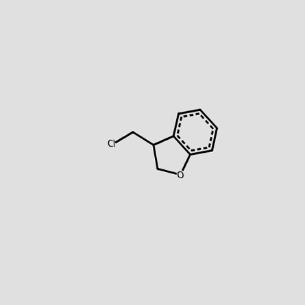 ClCC1COc2ccccc21